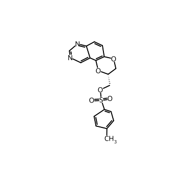 Cc1ccc(S(=O)(=O)OC[C@H]2COc3ccc4ncncc4c3O2)cc1